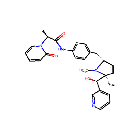 C[C@@H](C(=O)Nc1ccc(C[C@@H]2CC[C@]([C@H](O)c3cccnc3)(C(C)(C)C)N2C(=O)O)cc1)n1ccccc1=O